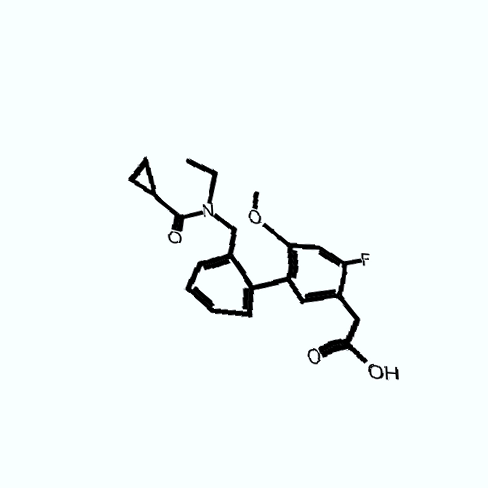 CCN(Cc1ccccc1-c1cc(CC(=O)O)c(F)cc1OC)C(=O)C1CC1